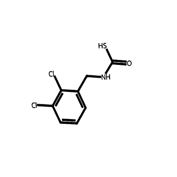 O=C(S)NCc1cccc(Cl)c1Cl